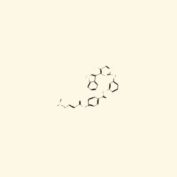 CN(C)C/C=C/C(=O)Nc1ccc(C(=O)Nc2cccc(Nc3ncc(C(F)(F)F)c(-c4c[nH]c5ccccc45)n3)c2)cc1